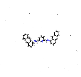 C(=N\c1cccc2cc3ccccc3cc12)/c1cccc(/C=N/c2cccc3cc4ccccc4cc23)n1